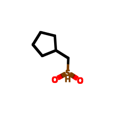 O=[SH](=O)CC1CCCC1